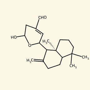 C=C1CCC2C(C)(C)CCC[C@]2(C)C1C1C=C(C=O)CC(O)O1